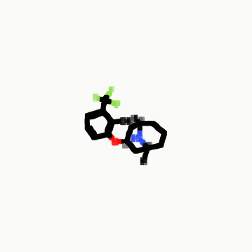 Cc1c(O[C@@H]2C[C@H]3CCC[C@@H](C2)N3)cccc1C(F)(F)F